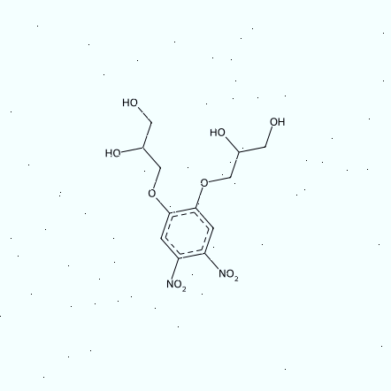 O=[N+]([O-])c1cc(OCC(O)CO)c(OCC(O)CO)cc1[N+](=O)[O-]